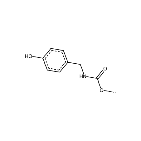 [CH2]OC(=O)NCc1ccc(O)cc1